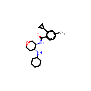 O=C(N[C@@H]1COCC[C@H]1NC1CCCCC1)c1ccc(C(F)(F)F)cc1C1CC1